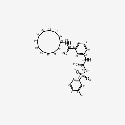 Cc1cccc(S(=O)(=O)NC(=O)Nc2cccc(C(=O)NC3CCCCCCCCCCC3)c2)c1